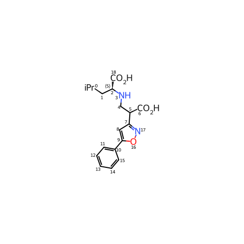 CC(C)C[C@H](NCC(C(=O)O)c1cc(-c2ccccc2)on1)C(=O)O